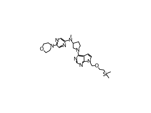 CN(c1cnc(N2CCOCC2)cn1)C1CCN(c2ncnc3c2ccn3COCC[Si](C)(C)C)C1